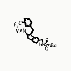 CCCCS(=O)(=O)NCc1ccc2c(c1)C(Cc1cccc(C(F)(F)F)c1)C(NC)C2